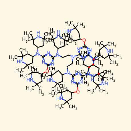 CC1(C)CC(Oc2nc(N(CCN(c3nc(OC4CC(C)(C)NC(C)(C)C4)nc(N(C4CC(C)(C)NC(C)(C)C4)C4CC(C)(C)NC(C)(C)C4)n3)C3CC(C)(C)NC(C)(C)C3)CCN(c3nc(OC4CC(C)(C)NC(C)(C)C4)nc(N(C4CC(C)(C)NC(C)(C)C4)C4CC(C)(C)NC(C)(C)C4)n3)C3CC(C)(C)NC(C)(C)C3)nc(N(C3CC(C)(C)NC(C)(C)C3)C3CC(C)(C)NC(C)(C)C3)n2)CC(C)(C)N1